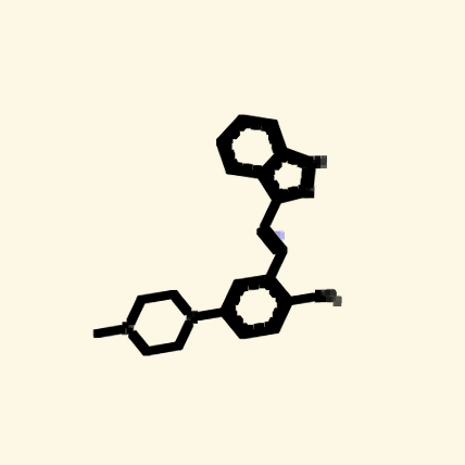 CN1CCN(c2ccc([N+](=O)[O-])c(/C=C/c3n[nH]c4ccccc34)c2)CC1